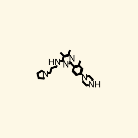 Cc1cc(N2CCNCC2)ccc1-c1nc(C)c(C)c(NCCCN2CCCC2)n1